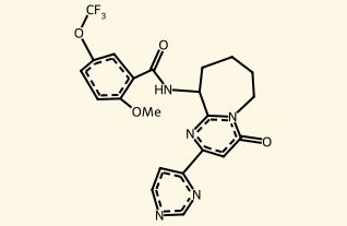 COc1ccc(OC(F)(F)F)cc1C(=O)NC1CCCCn2c1nc(-c1ccncn1)cc2=O